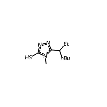 CCCCC(CC)c1nnc(S)n1C